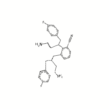 N#Cc1cccc(CC(CCN)Cc2ccc(F)cc2)c1C(CCN)Cc1ccc(F)cc1